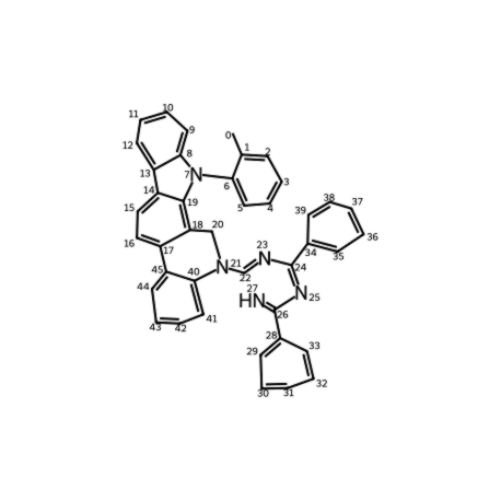 Cc1ccccc1-n1c2ccccc2c2ccc3c(c21)CN(/C=N/C(=N\C(=N)c1ccccc1)c1ccccc1)c1ccccc1-3